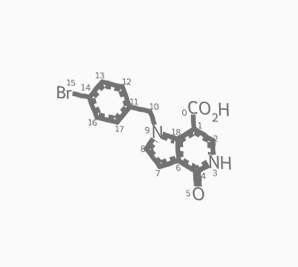 O=C(O)c1c[nH]c(=O)c2ccn(Cc3ccc(Br)cc3)c12